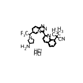 CC(C)(C#N)c1cccc2ccc(-c3nnc4ccc([C@@H](N5CC[C@H](N)C5)C(F)(F)F)cn34)nc12.Cl.Cl